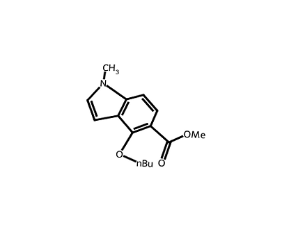 CCCCOc1c(C(=O)OC)ccc2c1ccn2C